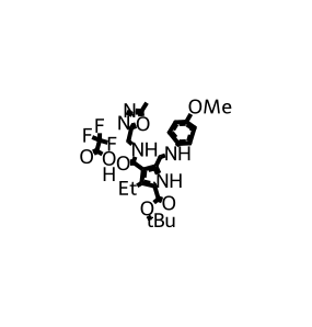 CCc1c(C(=O)OC(C)(C)C)[nH]c(CNc2ccc(OC)cc2)c1C(=O)NCc1nnc(C)o1.O=C(O)C(F)(F)F